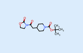 CC(C)(C)OC(=O)N1CCC(CC(=O)N2CCOC2=O)CC1